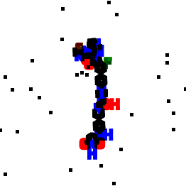 O=C1CC[C@@H](Nc2ccc(C3CCN(CC(O)N4CCN(c5ccc(-c6cc(F)c7c(c6)C(=O)N(C(C(=O)Nc6nccs6)c6ncn8c6CCC8)C7)cc5)CC4)CC3)cc2)C(=O)N1